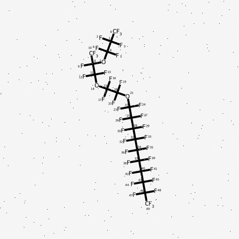 FC(F)(F)C(F)(F)C(F)(F)OC(F)(C(F)(F)F)C(F)(F)OC(F)(F)C(F)(F)OC(F)(F)C(F)(F)C(F)(F)C(F)(F)C(F)(F)C(F)(F)C(F)(F)C(F)(F)C(F)(F)C(F)(F)F